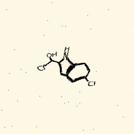 OC(Cl)c1cc2cc(Cl)ccc2[nH]1